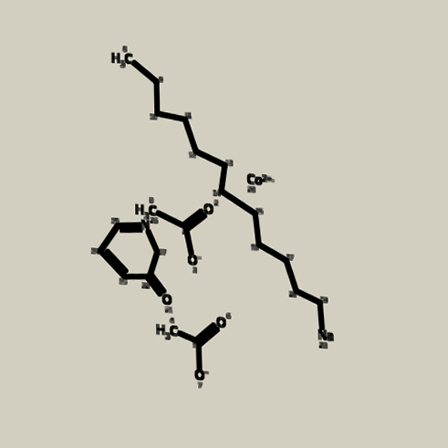 CC(=O)[O-].CC(=O)[O-].CCCCCCCCCCC[CH2][Na].O=C1C=CC=NC1.[Co+2]